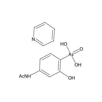 CC(=O)Nc1ccc([As](=O)(O)O)c(O)c1.c1ccncc1